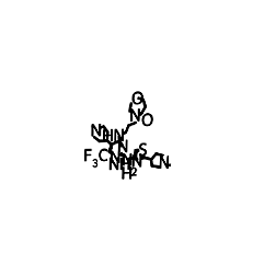 CN1CCC(C2=C(C(F)(F)F)N(N)C(Nc3csc(C4CCN(C)CC4)n3)N=C2NCCCN2CCOCCC2=O)CC1